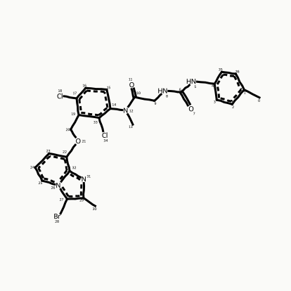 Cc1ccc(NC(=O)NCC(=O)N(C)c2ccc(Cl)c(COc3cccn4c(Br)c(C)nc34)c2Cl)cc1